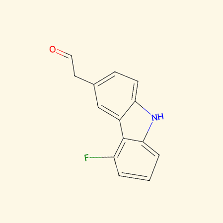 O=CCc1ccc2[nH]c3cccc(F)c3c2c1